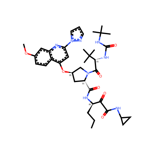 CCC[C@@H](NC(=O)[C@@H]1C[C@@H](Oc2cc(-n3cccn3)nc3cc(OC)ccc23)CN1C(=O)[C@@H](NC(=O)NC(C)(C)C)C(C)(C)C)C(=O)C(=O)NC1CC1